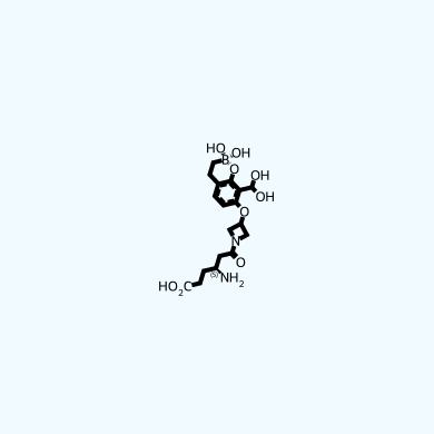 N[C@@H](CCC(=O)O)CC(=O)N1CC(Oc2ccc3c(c2C(O)O)O[B-](O)(O)CC3)C1